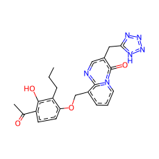 CCCc1c(OCc2cccn3c(=O)c(Cc4nnn[nH]4)cnc23)ccc(C(C)=O)c1O